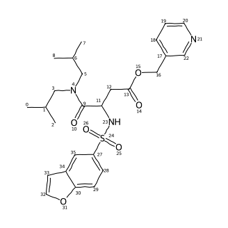 CC(C)CN(CC(C)C)C(=O)C(CC(=O)OCc1cccnc1)NS(=O)(=O)c1ccc2occc2c1